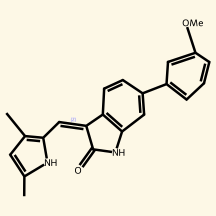 COc1cccc(-c2ccc3c(c2)NC(=O)/C3=C\c2[nH]c(C)cc2C)c1